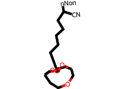 [CH2]CCCCCCCCC(C#N)CCCCC[C]1OC2CCOCC(CCOC2)O1